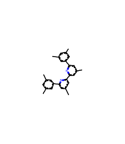 Cc1cc(C)cc(-c2cc(C)cc(-c3cc(C)cc(-c4cc(C)cc(C)c4)n3)n2)c1